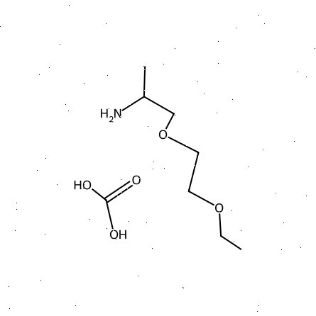 CCOCCOCC(C)N.O=C(O)O